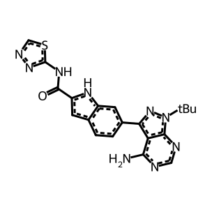 CC(C)(C)n1nc(-c2ccc3cc(C(=O)Nc4nncs4)[nH]c3c2)c2c(N)ncnc21